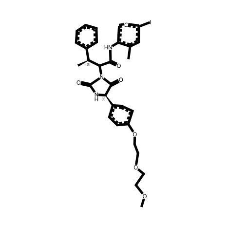 COCCOCCOc1ccc([C@H]2NC(=O)N(C(C(=O)Nc3ccc(I)cc3C)[C@@H](C)c3ccccc3)C2=O)cc1